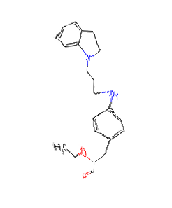 CCOC(C=O)Cc1ccc(NCCCN2CCc3ccccc32)cc1